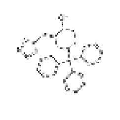 OC1CCN(C(c2ccccc2)(c2ccccc2)c2ccccc2)C/C1=C\c1csnn1